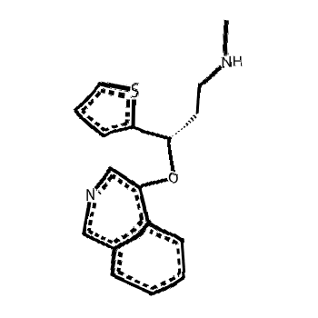 CNCC[C@H](Oc1cncc2ccccc12)c1cccs1